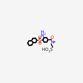 CN(CCS(=O)(=O)O)C(=O)c1ccc(S(=O)(=O)c2ccc3ccccc3c2)c(N)c1